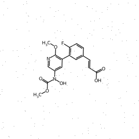 COC(=O)N(O)c1cnc(OC)c(-c2cc(C=CC(=O)O)ccc2F)c1